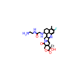 CC[C@@]1(O)C(=O)OCc2c1cc1n(c2=O)Cc2c-1nc1cc(F)c(C)c3c1c2[C@@H](NCC(=O)NCCN)CC3